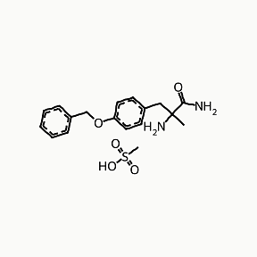 CC(N)(Cc1ccc(OCc2ccccc2)cc1)C(N)=O.CS(=O)(=O)O